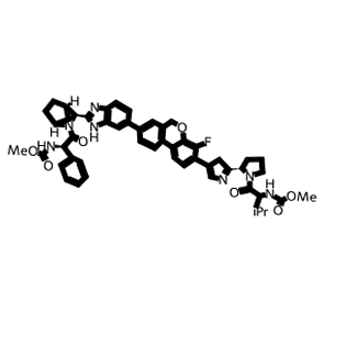 COC(=O)NC(C(=O)N1CCC[C@H]1C1=NC=C(c2ccc3c(c2F)OCc2cc(-c4ccc5nc([C@@H]6[C@H]7CC[C@H](C7)N6C(=O)[C@H](NC(=O)OC)c6ccccc6)[nH]c5c4)ccc2-3)C1)C(C)C